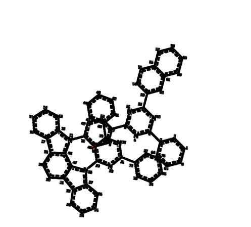 c1ccc(-c2nc(-c3ccc(-n4c5ccccc5c5ccc6c7ccccc7n(-c7nc(-c8ccccc8)nc(-c8ccccc8)n7)c6c54)cc3)nc(-c3ccc4ccccc4c3)n2)cc1